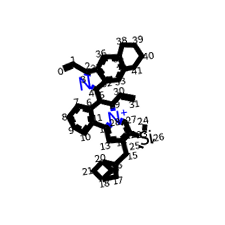 C=CC1=NC(C2c3ccccc3-c3cc(CC4CC5CC4C5)c([Si](C)(C)C)c[n+]3C2C=C)c2cc3c(cc21)CCCC3